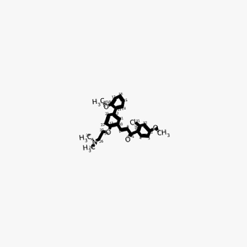 COc1ccc(C(=O)C=Cc2cc(-c3ccccc3OC)ccc2OCCN(C)C)c(Cl)c1